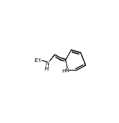 CCN/C=C1/C=CC=CN1